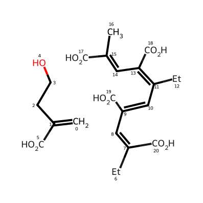 C=C(CCO)C(=O)O.CCC(=CC(=CC(CC)=C(C=C(C)C(=O)O)C(=O)O)C(=O)O)C(=O)O